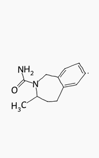 CC1CCc2c[c]ccc2CN1C(N)=O